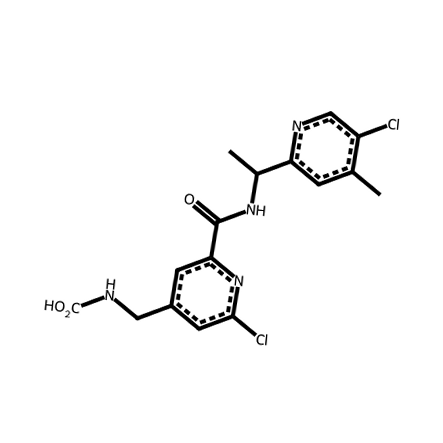 Cc1cc(C(C)NC(=O)c2cc(CNC(=O)O)cc(Cl)n2)ncc1Cl